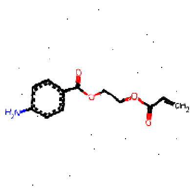 C=CC(=O)OCCOC(=O)c1ccc(N)cc1